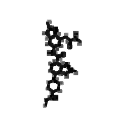 CCNC1CCN(c2ccc(C(=O)Nc3cc(CC(=O)NC)c4nn(C)cc4c3)c3nn(C)cc23)CC1